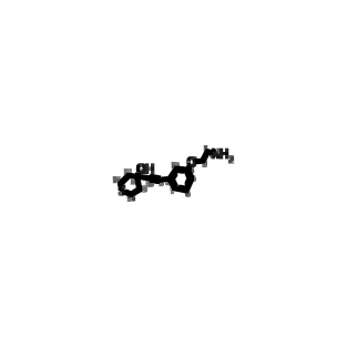 NCCOc1cccc(C#CC2(O)CCSCC2)c1